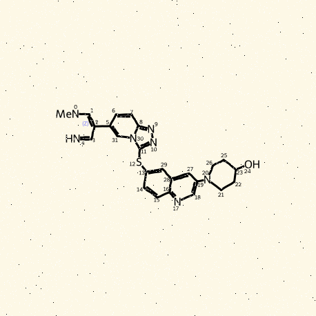 CN/C=C(\C=N)c1ccc2nnc(Sc3ccc4ncc(N5CCC(O)CC5)cc4c3)n2c1